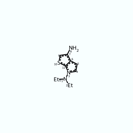 CCN(CC)n1ccc2c(N)csc21